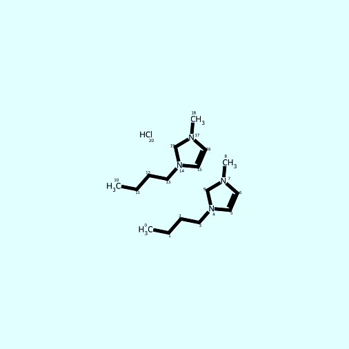 CCCCN1C=CN(C)C1.CCCCN1C=CN(C)C1.Cl